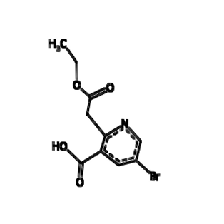 CCOC(=O)Cc1ncc(Br)cc1C(=O)O